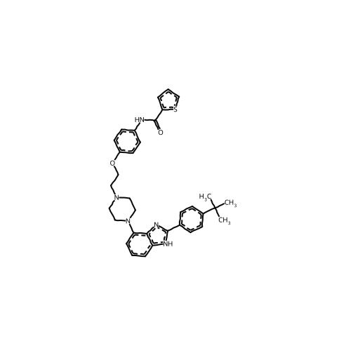 CC(C)(C)c1ccc(-c2nc3c(N4CCN(CCOc5ccc(NC(=O)c6cccs6)cc5)CC4)cccc3[nH]2)cc1